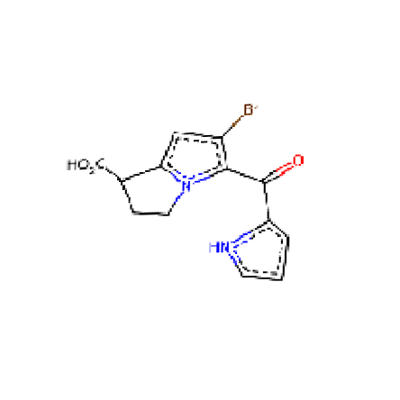 O=C(c1ccc[nH]1)c1c(Br)cc2n1CCC2C(=O)O